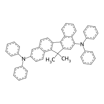 CC1(C)c2cc(N(c3ccccc3)c3ccccc3)c3ccccc3c2-c2ccc3cc(N(c4ccccc4)c4ccccc4)ccc3c21